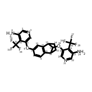 Nc1cncc(Oc2ccc3c(c2)C2CCC3C2Oc2cncc(N)c2C(F)(F)F)c1C(F)(F)F